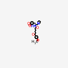 COc1ccc(C(=O)CCCCC(=O)N[C@@H](Cc2ccc3c(c2)OCO3)CN2CCCC2)cc1